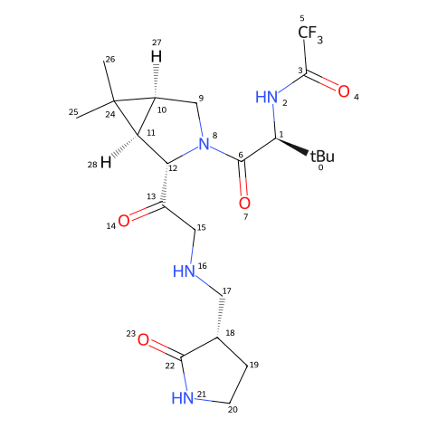 CC(C)(C)[C@H](NC(=O)C(F)(F)F)C(=O)N1C[C@H]2[C@@H]([C@H]1C(=O)CNC[C@@H]1CCNC1=O)C2(C)C